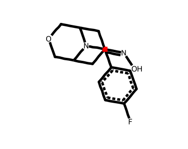 ON=C1CC2COCC(C1)N2Cc1ccc(F)cc1